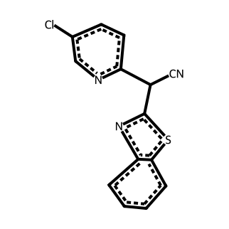 N#CC(c1ccc(Cl)cn1)c1nc2ccccc2s1